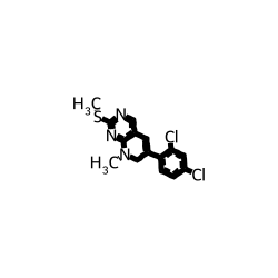 CSc1ncc2c(n1)N(C)CC(c1ccc(Cl)cc1Cl)=C2